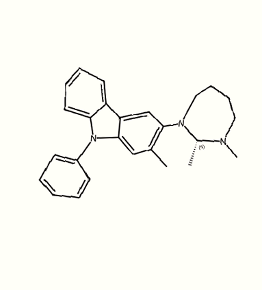 Cc1cc2c(cc1N1CCCCN(C)[C@@H]1C)c1ccccc1n2-c1ccccc1